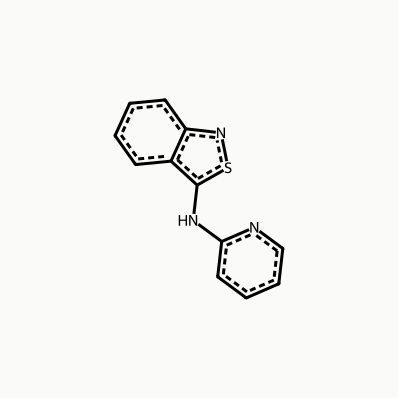 c1ccc(Nc2snc3ccccc23)nc1